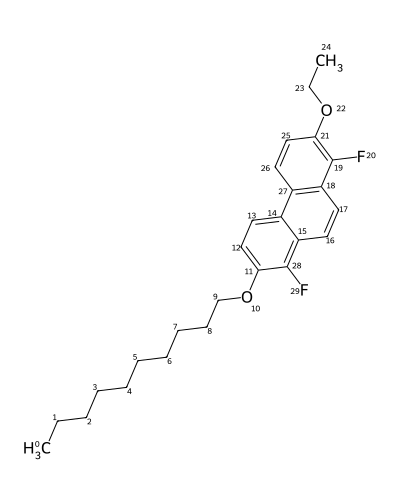 CCCCCCCCCCOc1ccc2c(ccc3c(F)c(OCC)ccc32)c1F